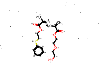 C=C(C)C(=O)OCCOCCO.C=C(C)C(=O)OCCSc1ccccc1